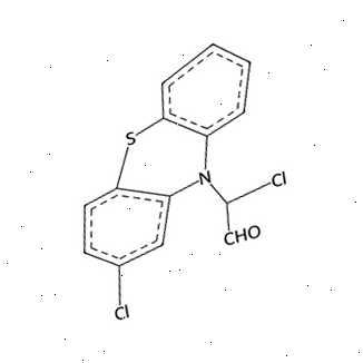 O=CC(Cl)N1c2ccccc2Sc2ccc(Cl)cc21